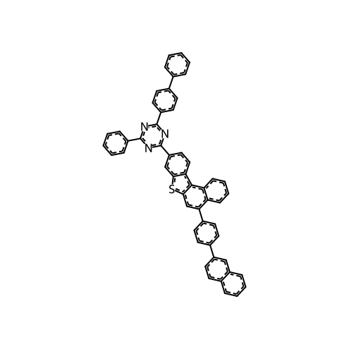 c1ccc(-c2ccc(-c3nc(-c4ccccc4)nc(-c4ccc5c(c4)sc4cc(-c6ccc(-c7ccc8ccccc8c7)cc6)c6ccccc6c45)n3)cc2)cc1